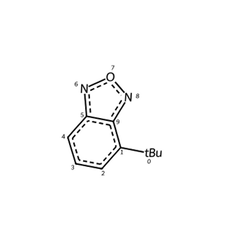 CC(C)(C)c1cccc2nonc12